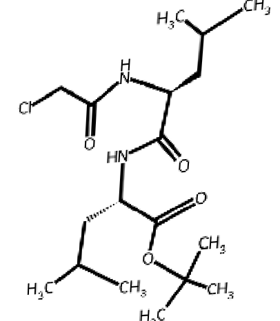 CC(C)C[C@H](NC(=O)CCl)C(=O)N[C@@H](CC(C)C)C(=O)OC(C)(C)C